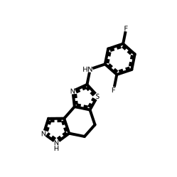 Fc1ccc(F)c(Nc2nc3c(s2)CCc2[nH]ncc2-3)c1